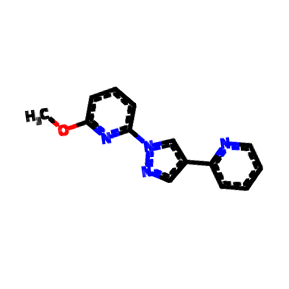 COc1cccc(-n2cc(-c3ccccn3)cn2)n1